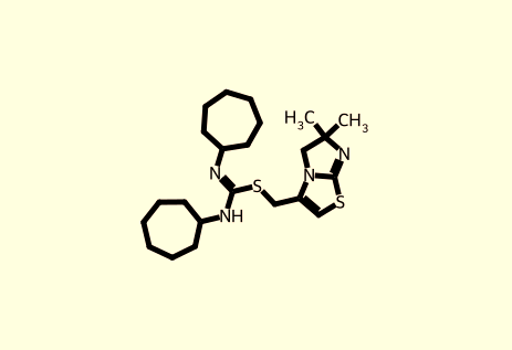 CC1(C)CN2C(CS/C(=N\C3CCCCCC3)NC3CCCCCC3)=CSC2=N1